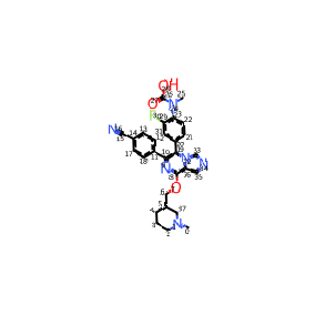 CN1CCCC(COc2nc(-c3ccc(C#N)cc3)c(-c3ccc(N(C)C(=O)O)c(F)c3)n3cncc23)C1